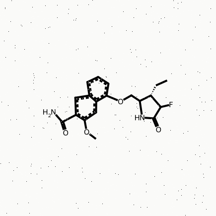 CC[C@H]1C(COc2cccc3cc(C(N)=O)c(OC)cc23)NC(=O)C1F